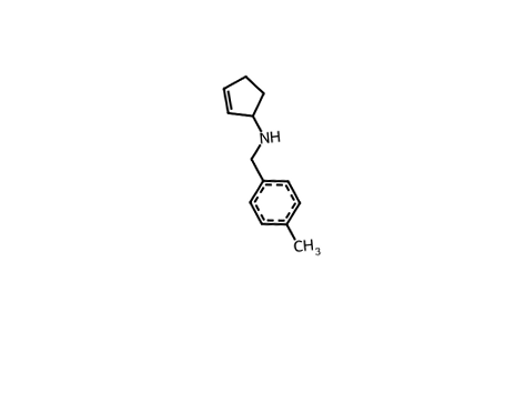 Cc1ccc(CNC2C=CCC2)cc1